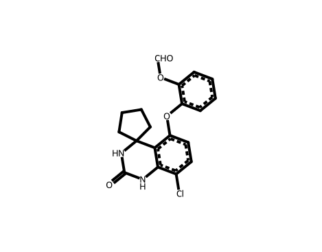 O=COc1ccccc1Oc1ccc(Cl)c2c1C1(CCCC1)NC(=O)N2